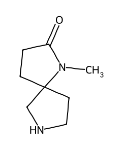 CN1C(=O)CCC12CCNC2